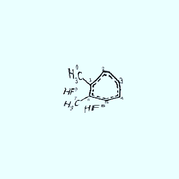 Cc1ccccc1C.F.F